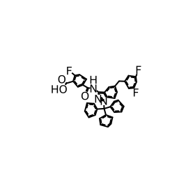 O=C(Nc1nn(C(c2ccccc2)(c2ccccc2)c2ccccc2)c2ccc(Cc3cc(F)cc(F)c3)cc12)c1ccc(F)c(C(=O)O)c1